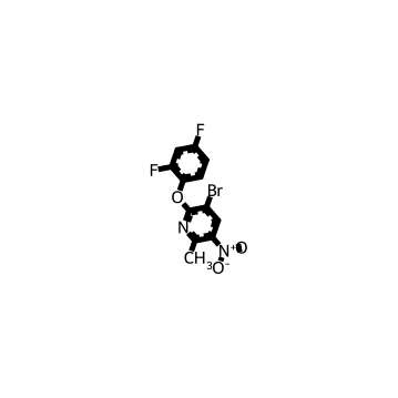 Cc1nc(Oc2ccc(F)cc2F)c(Br)cc1[N+](=O)[O-]